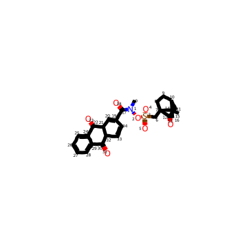 CN(OS(=O)(=O)CC12CCC(CC1=O)C2(C)C)C(=O)C1=CC2C(=O)c3ccccc3C(=O)C2C=C1